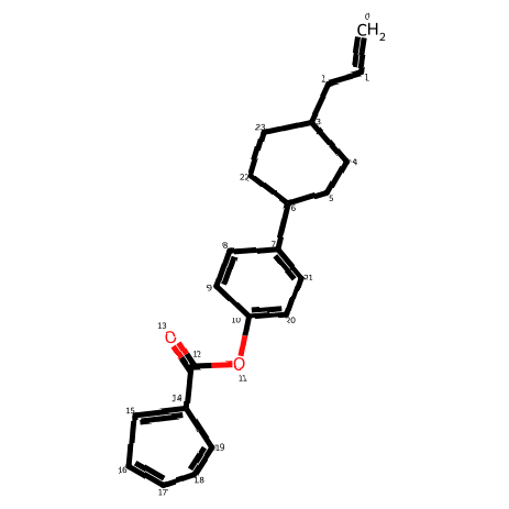 C=CCC1CCC(c2ccc(OC(=O)c3ccccc3)cc2)CC1